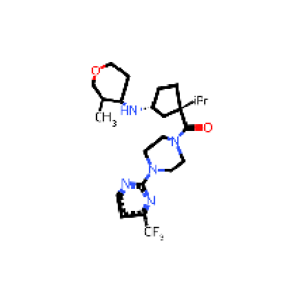 CC1COCCC1N[C@@H]1CC[C@@](C(=O)N2CCN(c3nccc(C(F)(F)F)n3)CC2)(C(C)C)C1